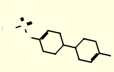 CC1=CCC(C2CC=C(OS(=O)(=O)C(F)(F)F)CC2)CC1